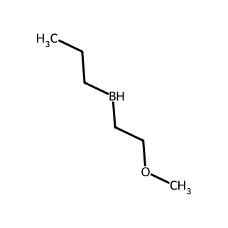 CCCBCCOC